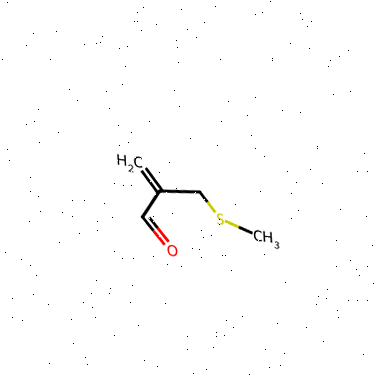 C=C(C=O)CSC